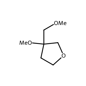 COCC1(OC)CCOC1